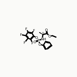 CCOC(=O)[C@H](C)NP(=O)(Oc1ccccc1)Oc1c(F)c(F)c(F)c(F)c1F